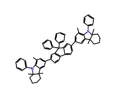 Cc1cc(-c2ccc3c(c2)C(c2ccccc2)(c2ccccc2)c2cc(-c4cc(C)c5c(c4)C4(C)CCCCC4(C)N5c4ccccc4)ccc2-3)cc2c1N(c1ccccc1)C1(C)CCCCC21C